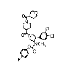 CN(C(=O)Oc1ccc(F)cc1)[C@@H]1CN(C(=O)C2CCN(C(=O)C3CCOCC3)CC2)C[C@H]1c1ccc(Cl)c(Cl)c1